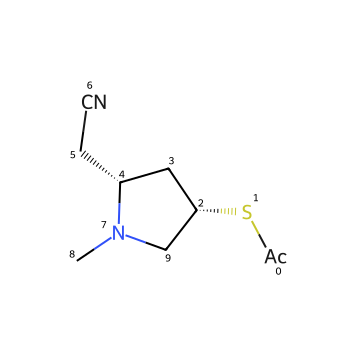 CC(=O)S[C@H]1C[C@@H](CC#N)N(C)C1